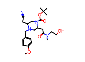 COc1ccc(CN2CC(CC(=O)N(C)CCO)N(C(=O)OC(C)(C)C)CC2CC#N)cc1